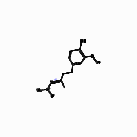 C/C(CCc1ccc(O)c(OC(C)C)c1)=N\[S+]([O-])C(C)(C)C